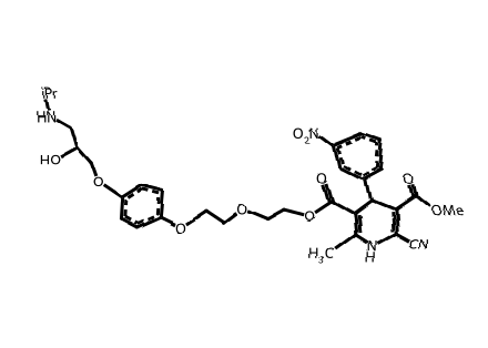 COC(=O)C1=C(C#N)NC(C)=C(C(=O)OCCOCCOc2ccc(OCC(O)CNC(C)C)cc2)C1c1cccc([N+](=O)[O-])c1